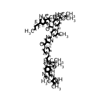 CCCC(F)(F)c1cnc2c(c1)N(C(=O)CN1C[C@H](C)N(C(=O)OC(C)(C)C)C[C@@H]1CN1CCN(c3ncc(C(=O)N4CCN(CCCOc5cc6ncnc(Nc7[nH]nc(C)c7C)c6cc5S(=O)(=O)C(C)(C)C)CC4)cn3)C[C@H]1C)CC2(C)C